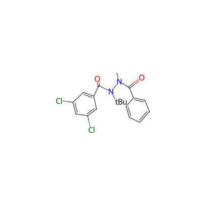 CN(C(=O)c1ccccc1)N(C(=O)c1cc(Cl)cc(Cl)c1)C(C)(C)C